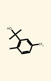 CC(C)(O)c1cc(C(F)(F)F)ccc1I